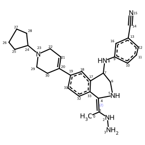 C/C(NN)=C1/NCC(Nc2cccc(C#N)c2)c2cc(C3=CCN(C4CCCC4)CC3)ccc21